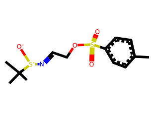 Cc1ccc(S(=O)(=O)OC/C=N/[S+]([O-])C(C)(C)C)cc1